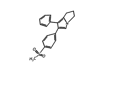 CS(=O)(=O)c1ccc(-c2cn3c(c2-c2ccccc2)CCC3)cc1